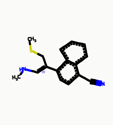 CN/C=C(\CSC)c1ccc(C#N)c2ccccc12